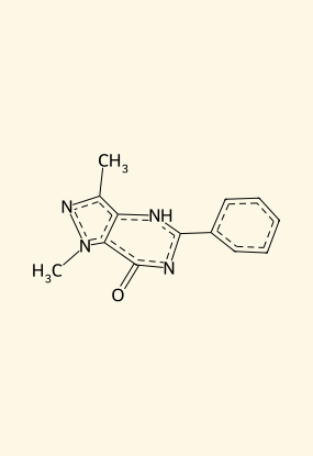 Cc1nn(C)c2c(=O)nc(-c3ccccc3)[nH]c12